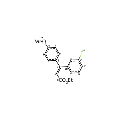 CCOC(=O)C=C(c1ccc(OC)cc1)c1cccc(F)c1